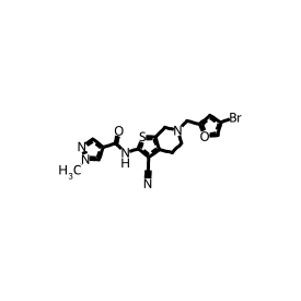 Cn1cc(C(=O)Nc2sc3c(c2C#N)CCN(Cc2cc(Br)co2)C3)cn1